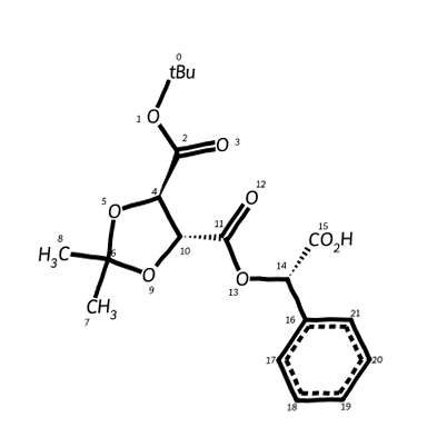 CC(C)(C)OC(=O)[C@@H]1OC(C)(C)O[C@H]1C(=O)O[C@H](C(=O)O)c1ccccc1